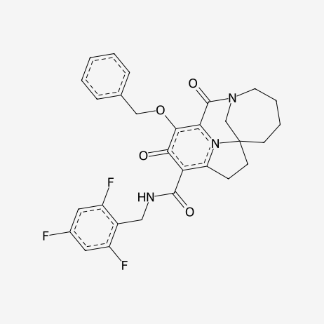 O=C(NCc1c(F)cc(F)cc1F)c1c2n3c(c(OCc4ccccc4)c1=O)C(=O)N1CCCCC3(CC2)C1